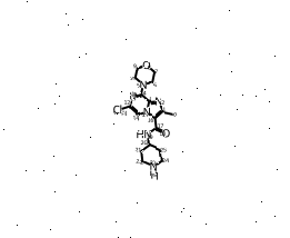 Cc1nc2c(N3CCOCC3)nc(Cl)cn2c1C(=O)NC1CCNCC1